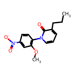 CCCc1cccn(-c2ccc([N+](=O)[O-])cc2OC)c1=O